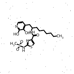 CCCCCCCC(Cc1ccnc(O)c1O)NC(=O)c1csc(NS(C)(=O)=O)n1